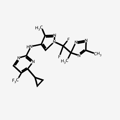 CC1=NC(C)(C(F)(F)n2cc(Nc3ncc(C(F)(F)F)c(C4CC4)n3)c(C)n2)N=N1